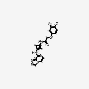 O=C(COc1ccc(Cl)c(F)c1)NC12CC(Nc3nccn4cnnc34)(C1)C2